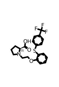 O=C(O)[C@@H]1CCCN1CCOc1ccccc1Sc1ccc(C(F)(F)F)cc1